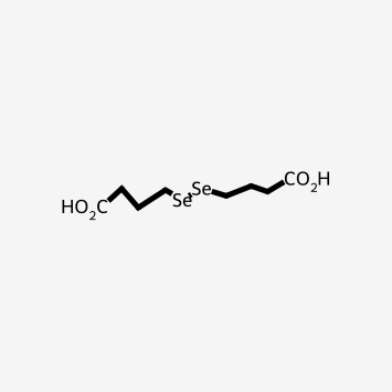 O=C(O)CCC[Se][Se]CCCC(=O)O